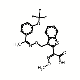 CON=C(C(=O)O)c1sc2ccccc2c1CON=C(C)c1cccc(OC(F)(F)F)c1